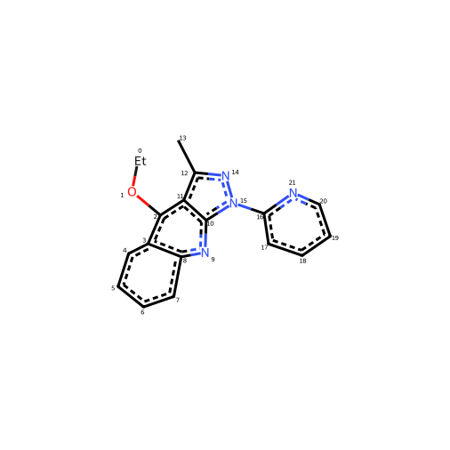 CCOc1c2ccccc2nc2c1c(C)nn2-c1ccccn1